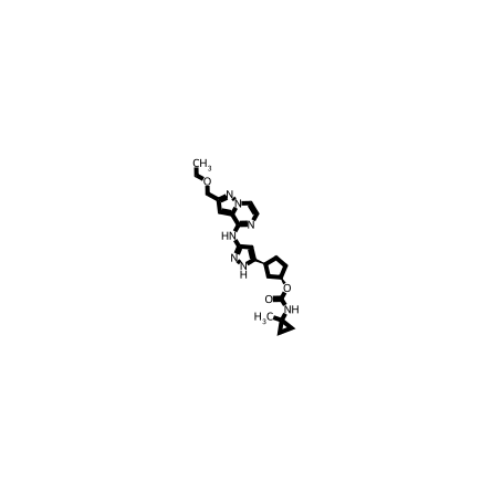 CCOCc1cc2c(Nc3cc([C@H]4CC[C@@H](OC(=O)NC5(C)CC5)C4)[nH]n3)nccn2n1